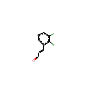 O=C/C=C/c1cccc(F)c1F